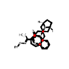 CC(C)ON=C(C(=O)O)c1nc2ccccc2n(C2C[C@H]3CC[C@H](C2)N3C2CC3CCCCC(C3)C2)c1=O